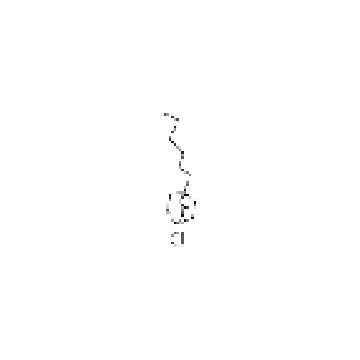 CCCCCCC12CCC(Cl)(CC1)CC2